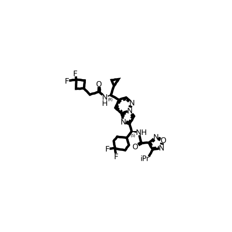 CC(C)c1nonc1C(=O)N[C@H](c1cn2ncc([C@H](NC(=O)CC3CC(F)(F)C3)C3CC3)cc2n1)C1CCC(F)(F)CC1